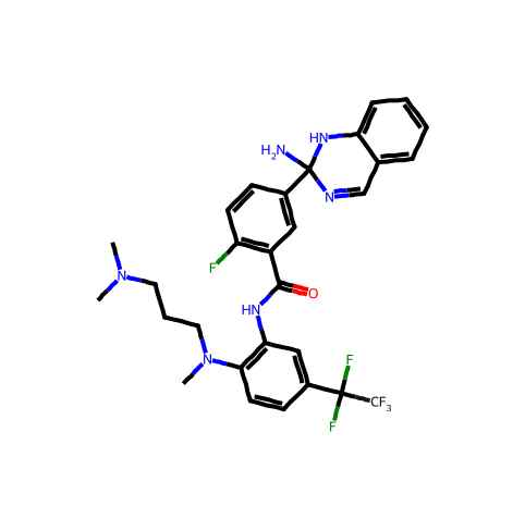 CN(C)CCCN(C)c1ccc(C(F)(F)C(F)(F)F)cc1NC(=O)c1cc(C2(N)N=Cc3ccccc3N2)ccc1F